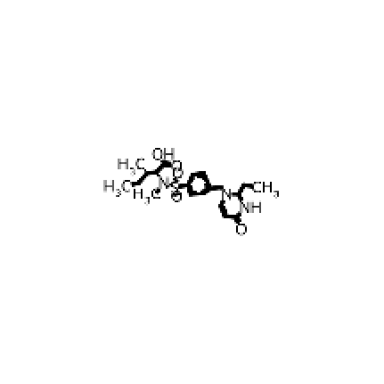 CCC1NC(=O)C=CN1Cc1ccc(S(=O)(=O)N(C)[C@H](C(=O)O)[C@@H](C)CC)cc1